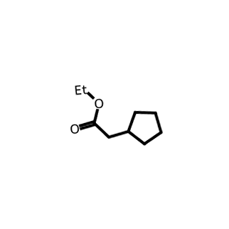 CCOC(=O)CC1CCCC1